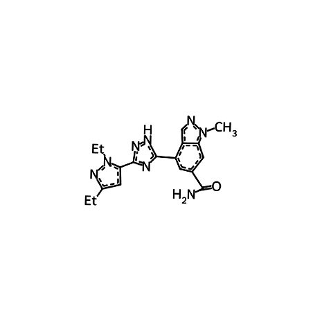 CCc1cc(-c2n[nH]c(-c3cc(C(N)=O)cc4c3cnn4C)n2)n(CC)n1